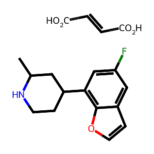 CC1CC(c2cc(F)cc3ccoc23)CCN1.O=C(O)C=CC(=O)O